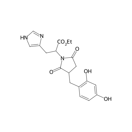 CCOC(=O)C(Cc1c[nH]cn1)N1C(=O)CC(Cc2ccc(O)cc2O)C1=O